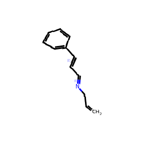 C=CC/N=C/C=C/c1ccccc1